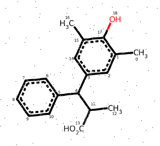 Cc1cc(C(c2ccccc2)C(C)C(=O)O)cc(C)c1O